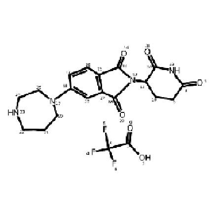 O=C(O)C(F)(F)F.O=C1CCC(N2C(=O)c3ccc(N4CCCNCC4)cc3C2=O)C(=O)N1